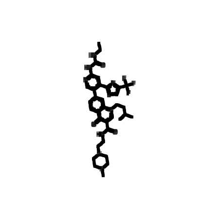 CCNC(=O)Nc1cc(-c2nc(C(F)(F)F)cs2)c(-c2ccc3c(=O)c(C(=O)NCCN4CCN(C)CC4)cn(CCC(C)C)c3c2)cn1